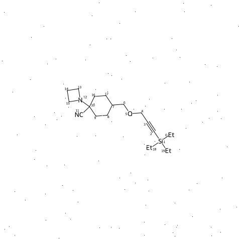 CC[Si](C#CCOCC1CCC(C#N)(N2CCC2)CC1)(CC)CC